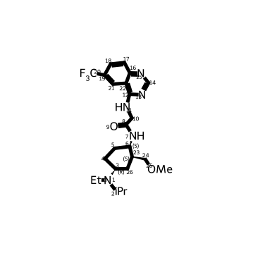 CCN(C(C)C)[C@@H]1CC[C@H](NC(=O)CNc2ncnc3ccc(C(F)(F)F)cc23)[C@@H](COC)C1